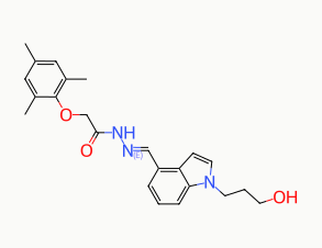 Cc1cc(C)c(OCC(=O)N/N=C/c2cccc3c2ccn3CCCO)c(C)c1